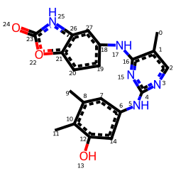 Cc1cnc(Nc2cc(C)c(C)c(O)c2)nc1Nc1ccc2oc(=O)[nH]c2c1